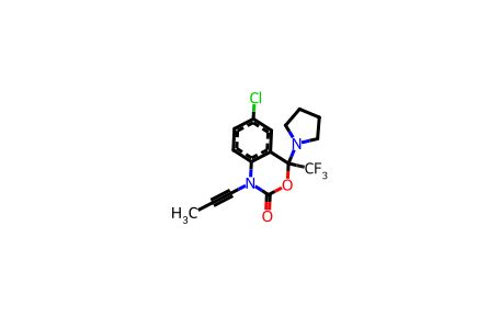 CC#CN1C(=O)OC(N2CCCC2)(C(F)(F)F)c2cc(Cl)ccc21